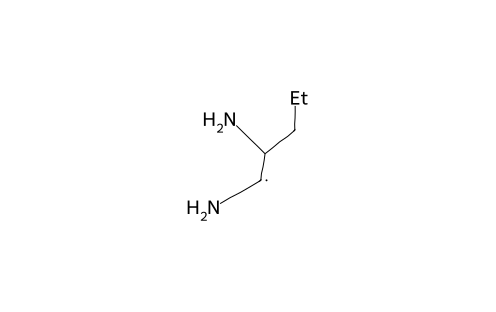 CCCC(N)[CH]N